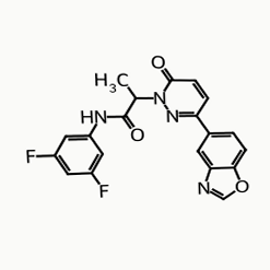 CC(C(=O)Nc1cc(F)cc(F)c1)n1nc(-c2ccc3ocnc3c2)ccc1=O